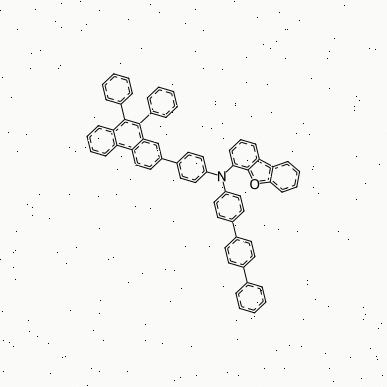 c1ccc(-c2ccc(-c3ccc(N(c4ccc(-c5ccc6c(c5)c(-c5ccccc5)c(-c5ccccc5)c5ccccc56)cc4)c4cccc5c4oc4ccccc45)cc3)cc2)cc1